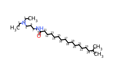 CCN(CC)CCCNC(=O)CCCCCCCCCCCCCCC(C)C